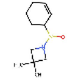 CC1(C)CN([S+]([O-])C2C=CCCC2)C1